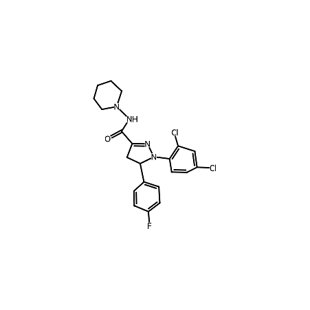 O=C(NN1CCCCC1)C1=NN(c2ccc(Cl)cc2Cl)C(c2ccc(F)cc2)C1